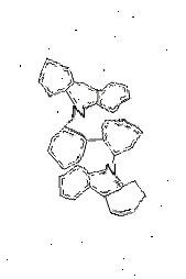 C1=Cc2c(n(-c3ccccc3-c3ccccc3-n3c4ccccc4c4ccccc43)c3ccccc23)CC1